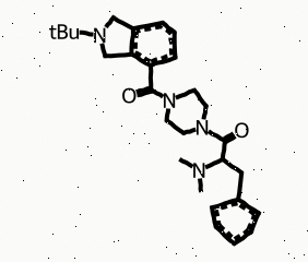 CN(C)C(Cc1ccccc1)C(=O)N1CCN(C(=O)c2cccc3c2CN(C(C)(C)C)C3)CC1